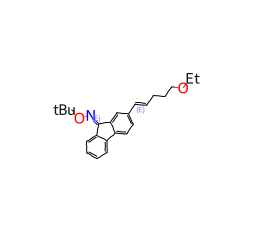 CCOCCC/C=C/c1ccc2c(c1)/C(=N/OC(C)(C)C)c1ccccc1-2